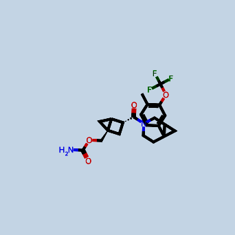 Cc1ccc(C23CCN(C(=O)[C@@H]4C[C@]5(COC(N)=O)CC45)CC2C3)cc1OC(F)(F)F